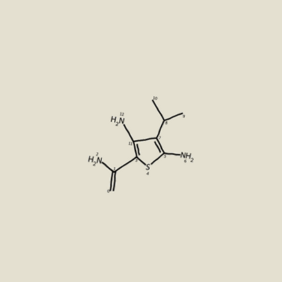 C=C(N)c1sc(N)c(C(C)C)c1N